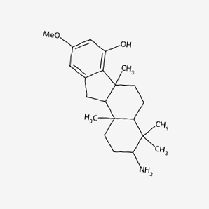 COc1cc(O)c2c(c1)CC1C2(C)CCC2C(C)(C)C(N)CCC12C